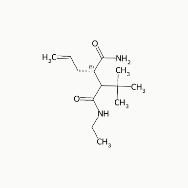 C=CC[C@H](C(N)=O)C(C(=O)NCC)C(C)(C)C